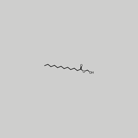 CCCCCCCCCCCC(=O)OCO